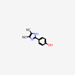 N#Cc1nc(-c2ccc(O)cc2)[nH]c1C#N